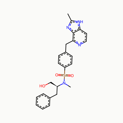 Cc1nc2c(Cc3ccc(S(=O)(=O)N(C)[C@H](CO)Cc4ccccc4)cc3)nccc2[nH]1